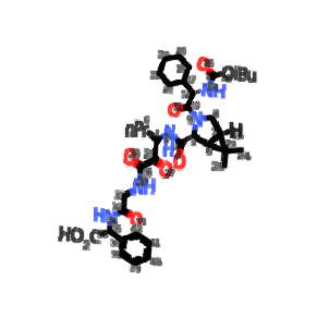 CCCC(NC(=O)[C@@H]1C2[C@H](CN1C(=O)[C@@H](NC(=O)OCC(C)C)C1CCCCC1)C2(C)C)C(=O)C(=O)NCC(=O)N[C@H](C(=O)O)c1ccccc1